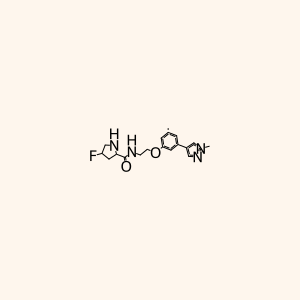 Cn1cc(-c2c[c]cc(OCCNC(=O)C3CC(F)CN3)c2)cn1